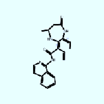 C=C/C(C(=O)Nc1nccc2ccccc12)=C1/NC(C)CC(=O)N/C1=C/C